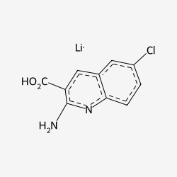 Nc1nc2ccc(Cl)cc2cc1C(=O)O.[Li]